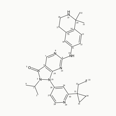 CC(C)n1c(=O)c2cnc(Nc3ccc4c(c3)CCNC4(C)C)nc2n1-c1ccnc(C2(CF)CC2)c1